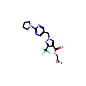 CCOC(=O)c1cn(Cc2cnc(N3CCCC3)nc2)nc1C(F)(F)F